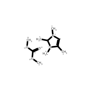 CC1=CN(C)C(C)N1C.COC(=O)OC